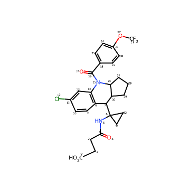 O=C(O)CCC(=O)NC1(C2c3ccc(Cl)cc3N(C(=O)c3ccc(OC(F)(F)F)cc3)C3CCCC32)CC1